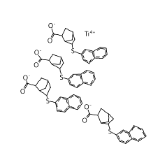 O=C([O-])C1CC2CC(Sc3ccc4ccccc4c3)C1C2.O=C([O-])C1CC2CC(Sc3ccc4ccccc4c3)C1C2.O=C([O-])C1CC2CC(Sc3ccc4ccccc4c3)C1C2.O=C([O-])C1CC2CC(Sc3ccc4ccccc4c3)C1C2.[Ti+4]